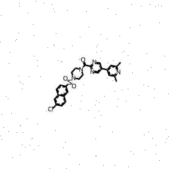 Cc1cc(-c2cnc(C(=O)N3CCN(S(=O)(=O)c4ccc5cc(Cl)ccc5c4)CC3)nc2)cc(C)n1